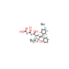 CCC1(CC)Oc2ccccc2C(c2ccc(F)cc2)=C1C=C[C@@H](O)C[C@@H](O)CC(=O)O.[Na]